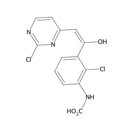 O=C(O)Nc1cccc(/C(O)=C\c2ccnc(Cl)n2)c1Cl